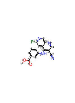 COC(=O)c1cccc(Nc2c(C#N)cnc3cnc(F)cc23)c1